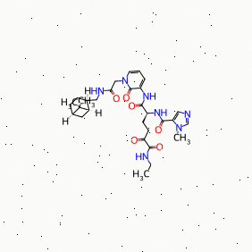 CCNC(=O)C(=O)CC[C@H](NC(=O)c1cncn1C)C(=O)Nc1cccn(CC(=O)NC[C@@H]2CC[C@@H]3C[C@H]2C3(C)C)c1=O